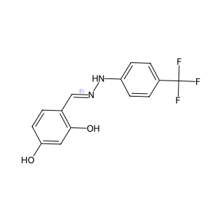 Oc1ccc(/C=N/Nc2ccc(C(F)(F)F)cc2)c(O)c1